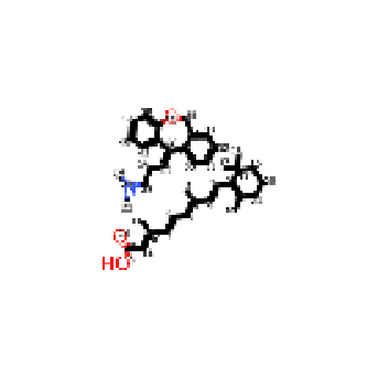 CC1=C(/C=C/C(C)=C/C=C/C(C)=C/C(=O)O)C(C)(C)CCC1.CN(C)CCC=C1c2ccccc2COc2ccccc21